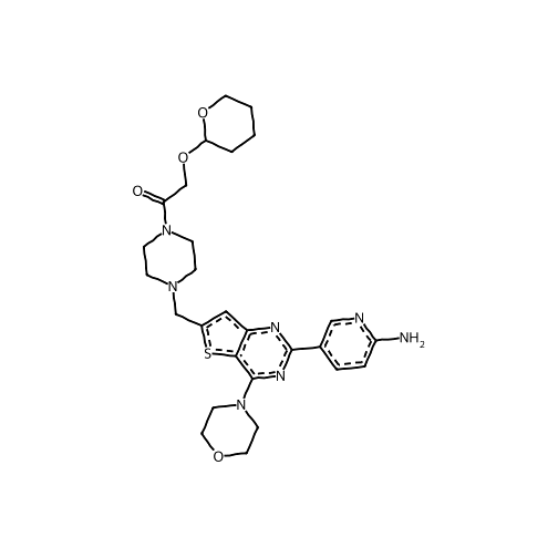 Nc1ccc(-c2nc(N3CCOCC3)c3sc(CN4CCN(C(=O)COC5CCCCO5)CC4)cc3n2)cn1